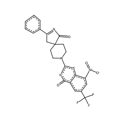 O=C1N=C(c2ccccc2)CC12CCN(c1nc(=O)c3cc(C(F)(F)F)cc([N+](=O)[O-])c3s1)CC2